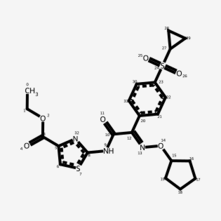 CCOC(=O)c1csc(NC(=O)/C(=N/OC2CCCC2)c2ccc(S(=O)(=O)C3CC3)cc2)n1